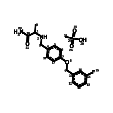 CC(NCc1ccc(OCc2cccc(F)c2)cc1)C(N)=O.CS(=O)(=O)O